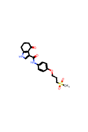 CS(=O)(=O)CCCOc1ccc(NC(=O)c2c[nH]c3c2C(=O)CCC3)cc1